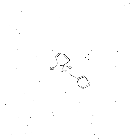 OC1(OCc2ccccc2)C=CC=CC1S